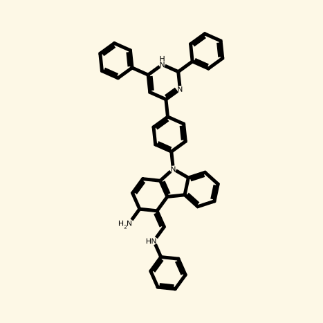 NC1C=Cc2c(c3ccccc3n2-c2ccc(C3=NC(c4ccccc4)NC(c4ccccc4)=C3)cc2)/C1=C/Nc1ccccc1